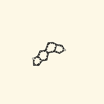 c1cc2cc3c(ccc4cocc43)cc2o1